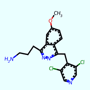 COc1ccc2c(Cc3c(Cl)cncc3Cl)nnc(CCCN)c2c1